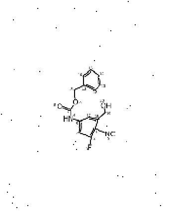 [C-]#[N+]c1c(F)cc(NC(=O)OCc2ccccc2)cc1CO